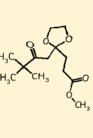 COC(=O)CCC1(CC(=O)C(C)(C)C)OCCO1